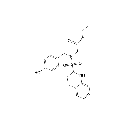 CCOC(=O)CN(Cc1ccc(O)cc1)S(=O)(=O)C1CCc2ccccc2N1